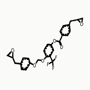 O=C(Oc1ccc(OCOc2ccc(CC3CO3)cc2)c(C(F)(F)F)c1)c1ccc(CC2CO2)cc1